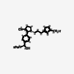 [C-]#[N+]C1=C(c2ccc(C(O)CCCCC)cc2)[C@@H](CCCc2ccc(C(=O)O)s2)CC1